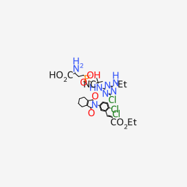 CCNc1nc(Cl)nc(NC(C)(C)C#N)n1.CCOC(=O)/C(Cl)=C/c1cc(N2C(=O)C3=C(CCCC3)C2=O)ccc1Cl.CP(=O)(O)CCC(N)C(=O)O